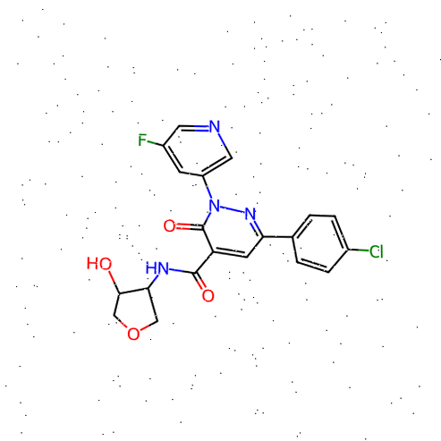 O=C(NC1COCC1O)c1cc(-c2ccc(Cl)cc2)nn(-c2cncc(F)c2)c1=O